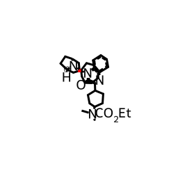 CCOC(=O)C1(N(C)C)CCC(c2nc3ccccc3n(C3CC4CC[C@@H](C3)N4C3CCCCCCC3)c2=O)CC1